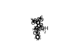 CC(=O)Oc1ccc(C(CC(C)OC(=O)OC2CCCCC2)[C@H](N)C(=O)O)cc1OC(C)=O